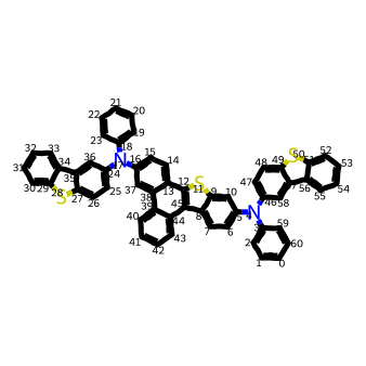 c1ccc(N(c2ccc3c(c2)sc2c4ccc(N(c5ccccc5)c5ccc6sc7ccccc7c6c5)cc4c4ccccc4c32)c2ccc3sc4ccccc4c3c2)cc1